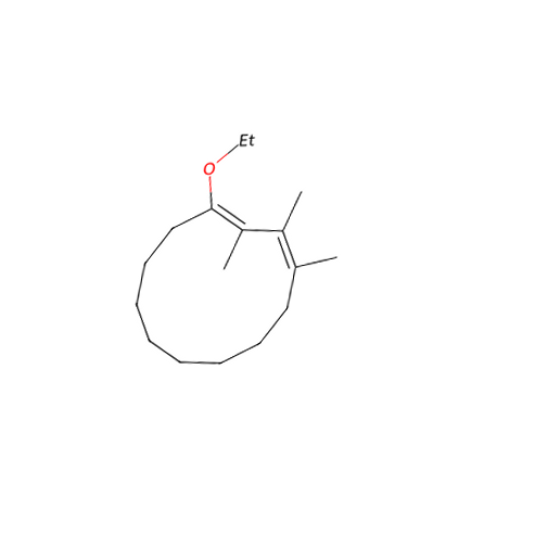 CCO/C1=C(C)\C(C)=C(\C)CCCCCCCC1